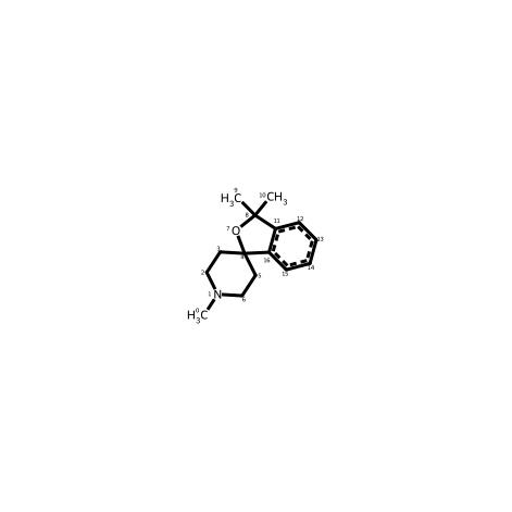 CN1CCC2(CC1)OC(C)(C)c1ccccc12